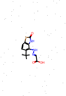 CC(C)(C)c1ccc2sc(=O)[nH]c2c1NN=CC(=O)O